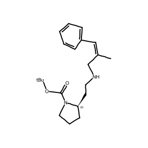 CC(=Cc1ccccc1)CNCC[C@H]1CCCN1C(=O)OC(C)(C)C